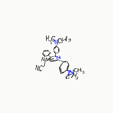 CNc1ccccc1-c1c(CCC#N)cc(-c2ccc(N(C)C)cc2)nc1-c1ccc(N(C)C)cc1